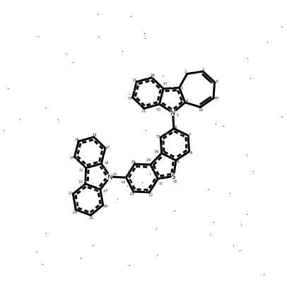 C1=CCc2c(n(-c3ccc4sc5ccc(-n6c7ccccc7c7ccccc76)cc5c4c3)c3ccccc23)C=C1